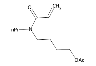 C=CC(=O)N(CCC)CCCCOC(C)=O